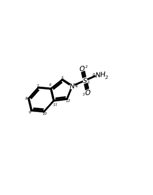 NS(=O)(=O)n1cc2ccccc2c1